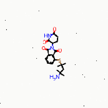 CC(C)(N)CC(C)(C)Sc1cccc2c1C(=O)N(C1CCC(=O)NC1=O)C2=O